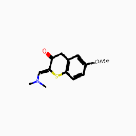 COc1ccc2c(c1)CC(=O)C(=CN(C)C)S2